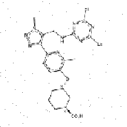 CCc1nc(CC)nc(NCc2c(-c3ccc(O[C@H]4CCC[C@H](C(=O)O)C4)c(C)n3)nnn2C)n1